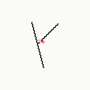 CCCCCCCCCCCCCCCCC(CCCCCCCCCCCCCC)COC(=O)CCCCCCCCCCCCCCC